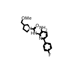 COCC1CCN(C(=O)Nc2nc(-c3ccc(F)cc3)ccc2N)C1